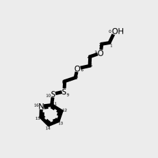 OCCOCCOCCSSc1ccccn1